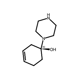 O[C@]1(N2CCNCC2)CC=CCC1